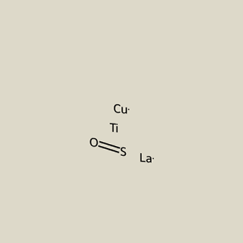 O=S.[Cu].[La].[Ti]